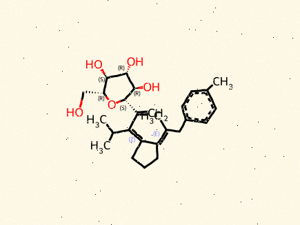 C=C(/C(=C1/CCC/C1=C(/C)Cc1ccc(C)cc1)C(C)C)[C@@H]1O[C@H](CO)[C@@H](O)[C@H](O)[C@H]1O